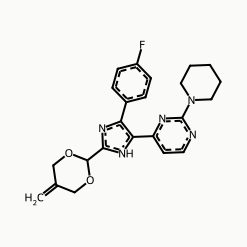 C=C1COC(c2nc(-c3ccc(F)cc3)c(-c3ccnc(N4CCCCC4)n3)[nH]2)OC1